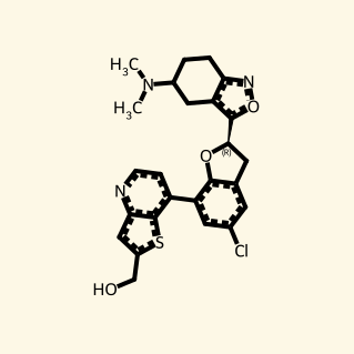 CN(C)C1CCc2noc([C@H]3Cc4cc(Cl)cc(-c5ccnc6cc(CO)sc56)c4O3)c2C1